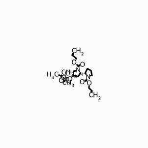 C=CCOC(=O)N1CCCC1[C@@H]1C[C@@H](O[Si](C)(C)C(C)(C)C)CN1C(=O)OCC=C